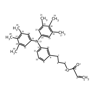 C=CC(=O)OCCCc1cccc(N(c2cc(C)c(C)c(C)c2)c2cc(C)c(C)c(C)c2)c1